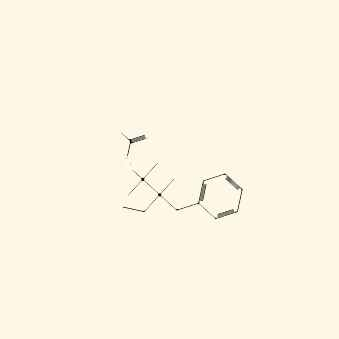 CCC(C)(Cc1ccccc1)C(C)(C)OC(=O)O